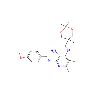 COc1ccc(CNc2nc(C)c(C)c(NCC3(C)COC(C)(C)OC3)c2N)cc1